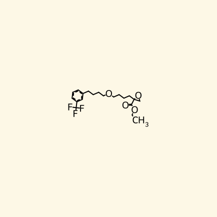 CCOC(=O)C1(CCCCOCCCCc2cccc(C(F)(F)F)c2)CO1